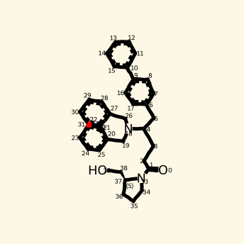 O=C(CCC(Cc1ccc(-c2ccccc2)cc1)N(Cc1ccccc1)Cc1ccccc1)N1CCC[C@H]1CO